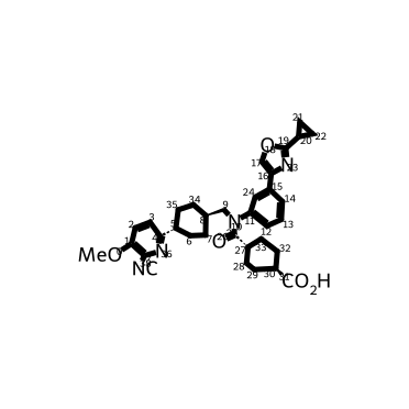 COc1ccc([C@H]2CC[C@H](CN(c3cccc(-c4coc(C5CC5)n4)c3)C(=O)[C@H]3CC[C@H](C(=O)O)CC3)CC2)nc1C#N